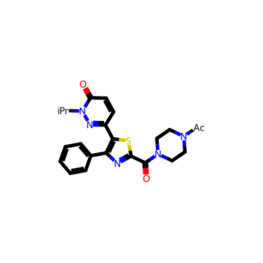 CC(=O)N1CCN(C(=O)c2nc(-c3ccccc3)c(-c3ccc(=O)n(C(C)C)n3)s2)CC1